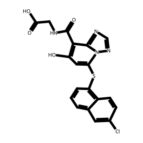 O=C(O)CNC(=O)c1c(O)cc(Sc2cccc3cc(Cl)ccc23)n2ncnc12